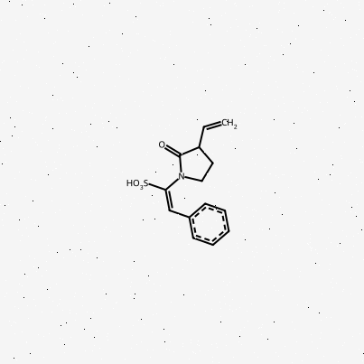 C=CC1CCN(C(=Cc2ccccc2)S(=O)(=O)O)C1=O